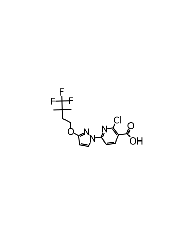 CC(C)(CCOc1ccn(-c2ccc(C(=O)O)c(Cl)n2)n1)C(F)(F)F